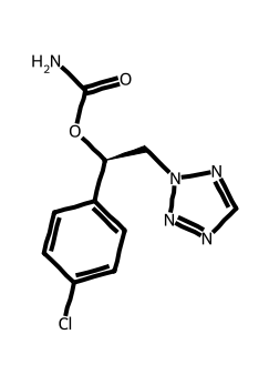 NC(=O)O[C@@H](Cn1ncnn1)c1ccc(Cl)cc1